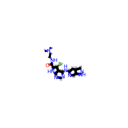 CN(C)CCNC(=O)c1[nH]c2ncnc(Nc3cc4cn[nH]c4cn3)c2c1Br